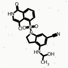 CC(O)Nc1cc(C#N)cc2c1CCN2S(=O)(=O)c1cccc2c(=O)[nH]cc(Cl)c12